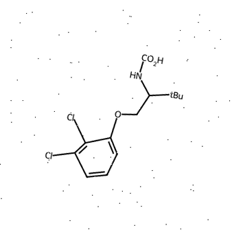 CC(C)(C)C(COc1cccc(Cl)c1Cl)NC(=O)O